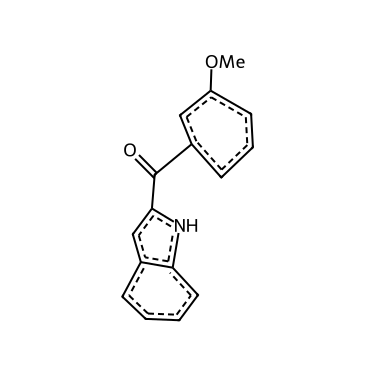 COc1cccc(C(=O)c2cc3ccccc3[nH]2)c1